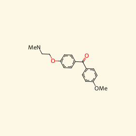 CNCCOc1ccc(C(=O)c2ccc(OC)cc2)cc1